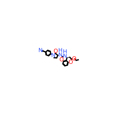 CCOC(=O)C[C@H](NC(=O)N[C@H]1CCN(c2ccc(C#N)cc2)C1=O)c1ccccc1